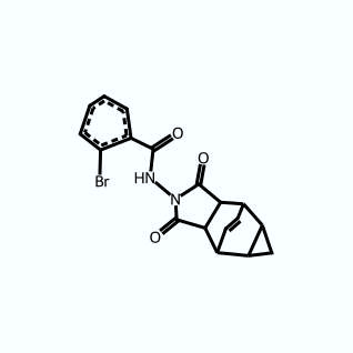 O=C(NN1C(=O)C2C3C=CC(C4CC34)C2C1=O)c1ccccc1Br